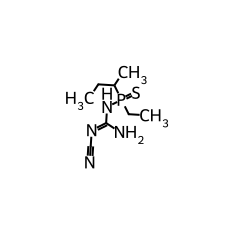 CCC(C)P(=S)(CC)NC(N)=NC#N